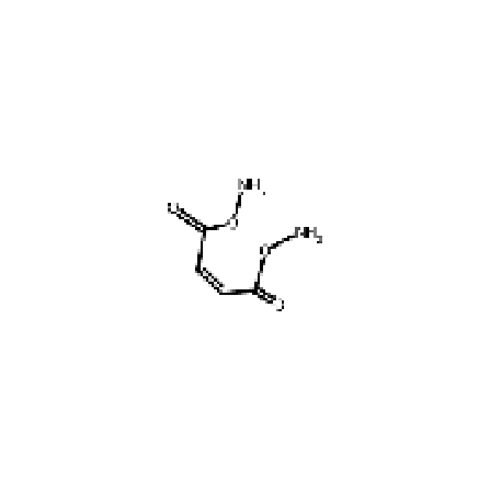 NOC(=O)/C=C\C(=O)ON